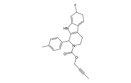 CC#CCOC(=O)N1CCc2c([nH]c3c2=CCC(F)C=3)C1c1ccc(C)cc1